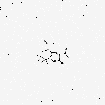 C=CC1CC(C)(C)C(C)(C)c2cc(Br)c(C(C)=O)cc21